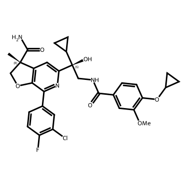 COc1cc(C(=O)NC[C@](O)(c2cc3c(c(-c4ccc(F)c(Cl)c4)n2)OC[C@]3(C)C(N)=O)C2CC2)ccc1OC1CC1